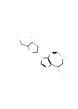 OCC1O[C@@H](n2cnc3c2N=CNC[C@H]3O)C[C@H]1O